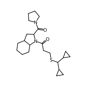 O=C(C1CC2CCCCC2N1C(=O)CCSC(C1CC1)C1CC1)N1CCCC1